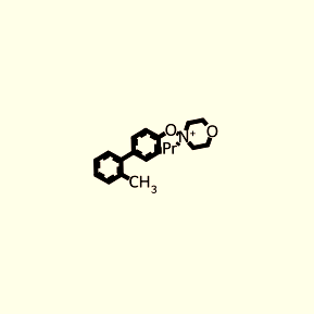 CCC[N+]1(Oc2ccc(-c3ccccc3C)cc2)CCOCC1